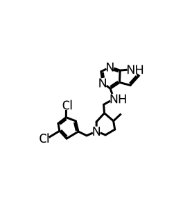 CC1CCN(Cc2cc(Cl)cc(Cl)c2)CC1CNc1ncnc2[nH]ccc12